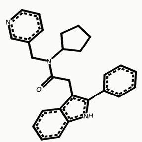 O=C(Cc1c(-c2ccccc2)[nH]c2ccccc12)N(Cc1cccnc1)C1CCCC1